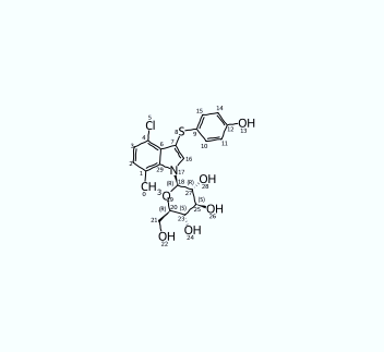 Cc1ccc(Cl)c2c(Sc3ccc(O)cc3)cn([C@@H]3O[C@H](CO)[C@@H](O)[C@H](O)[C@H]3O)c12